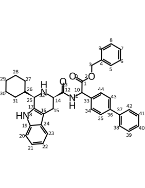 O=C(OCc1ccccc1)C(NC(=O)[C@H]1Cc2c([nH]c3ccccc23)[C@@H](C2CCCCC2)N1)c1ccc(-c2ccccc2)cc1